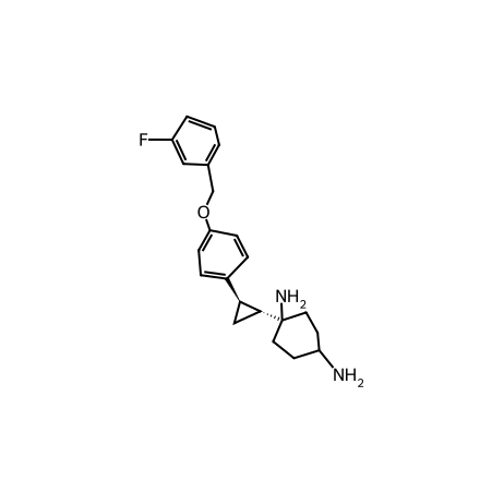 NC1CCC(N)([C@@H]2C[C@H]2c2ccc(OCc3cccc(F)c3)cc2)CC1